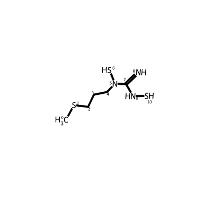 CSCCCN(S)C(=N)NS